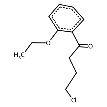 CCOc1ccccc1C(=O)CCCCl